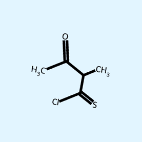 CC(=O)C(C)C(=S)Cl